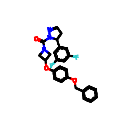 O=C(N1CC(Oc2ccc(OCc3ccccc3)cc2)C1)N1N=CCC1c1cc(F)cc(F)c1